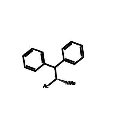 CN[C@H](C(C)=O)C(c1ccccc1)c1ccccc1